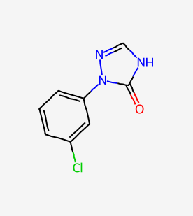 O=c1[nH]cnn1-c1cccc(Cl)c1